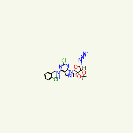 CC1(C)O[C@@H]2[C@H](O1)[C@@H](CN=[N+]=[N-])O[C@H]2n1ncc2c(NCc3ccccc3Cl)nc(Cl)nc21